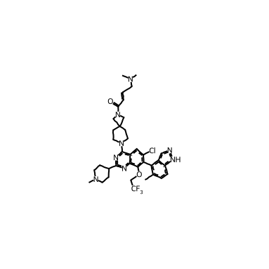 Cc1ccc2[nH]ncc2c1-c1c(Cl)cc2c(N3CCC4(CC3)CN(C(=O)/C=C/CN(C)C)C4)nc(C3CCN(C)CC3)nc2c1OCC(F)(F)F